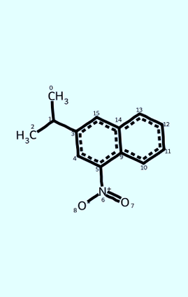 CC(C)c1cc([N+](=O)[O-])c2ccccc2c1